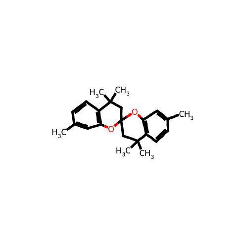 Cc1ccc2c(c1)OC1(CC2(C)C)CC(C)(C)c2ccc(C)cc2O1